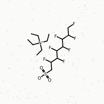 CC[N+](CC)(CC)CC.O=S(=O)([O-])CC(F)C(F)C(F)C(F)C(F)C(F)CF